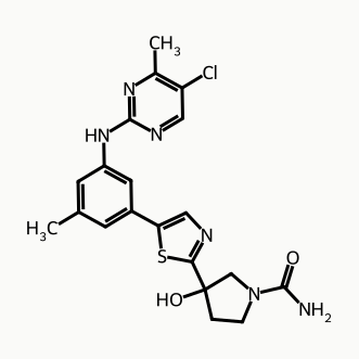 Cc1cc(Nc2ncc(Cl)c(C)n2)cc(-c2cnc(C3(O)CCN(C(N)=O)C3)s2)c1